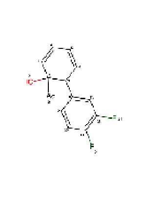 CC(=O)C1(O)C=CC=CC1c1ccc(F)c(F)c1